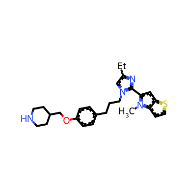 CCc1cn(CCCc2ccc(OCC3CCNCC3)cc2)c(-c2cc3sccc3n2C)n1